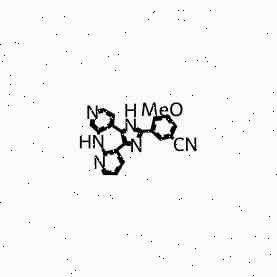 COc1ccc(C#N)cc1-c1nc2c([nH]1)-c1ccncc1Nc1ncccc1-2